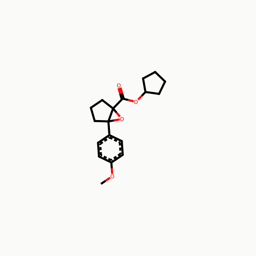 COc1ccc(C23CCCC2(C(=O)OC2CCCC2)O3)cc1